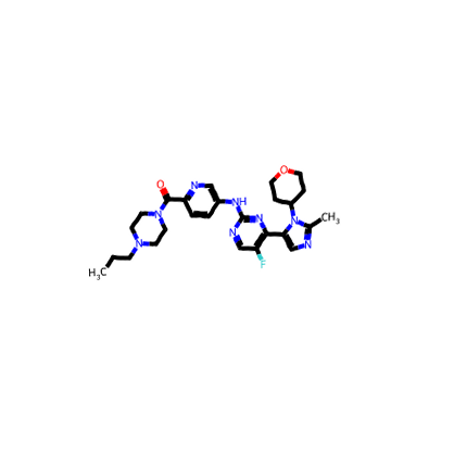 CCCN1CCN(C(=O)c2ccc(Nc3ncc(F)c(-c4cnc(C)n4C4CCOCC4)n3)cn2)CC1